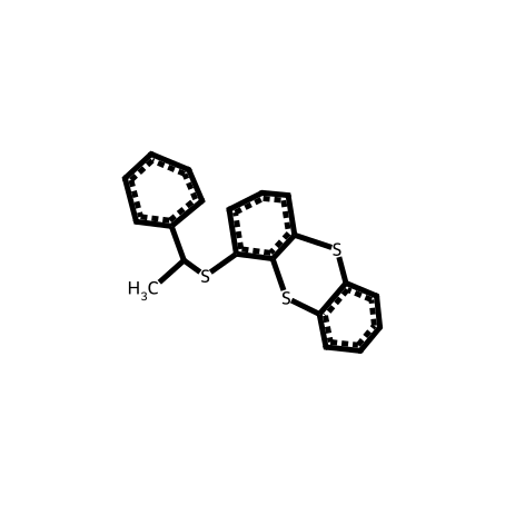 CC(Sc1cccc2c1Sc1ccccc1S2)c1ccccc1